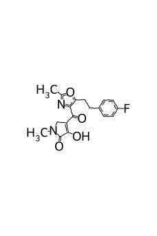 Cc1nc(C(=O)C2=C(O)C(=O)N(C)C2)c(CCc2ccc(F)cc2)o1